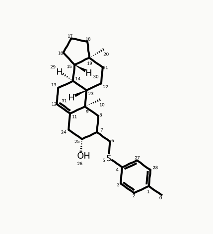 Cc1ccc(SCC2C[C@@]3(C)C(=CC[C@H]4[C@@H]5CCC[C@@]5(C)CC[C@@H]43)C[C@H]2O)cc1